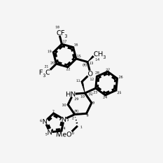 COC[C@@]1(n2cnnc2)CC[C@@](CO[C@H](C)c2cc(C(F)(F)F)cc(C(F)(F)F)c2)(c2ccccc2)NC1